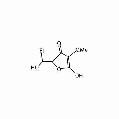 CCC(O)C1OC(O)=C(OC)C1=O